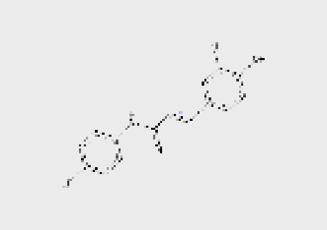 N=C(/C=C/c1ccc(O)c(Cl)c1)Nc1ccc(Cl)cc1